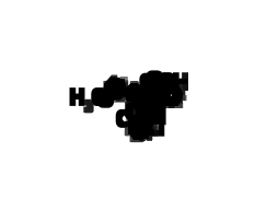 COc1cccc(-c2cc(C(=O)N[C@H](C(=O)O)C3(C)CCCCC3)c(NC(=O)Nc3c(Cl)cccc3Cl)s2)c1